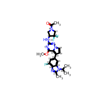 COc1nc(NC2CN(C(C)=O)CC2(F)F)nn2ccc(-c3cc(F)c4nc(C)n(C(C)C)c4c3)c12